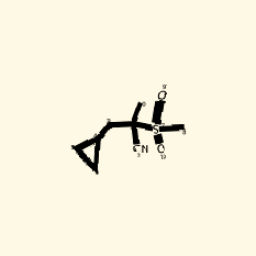 CC(C#N)(CC1CC1)S(C)(=O)=O